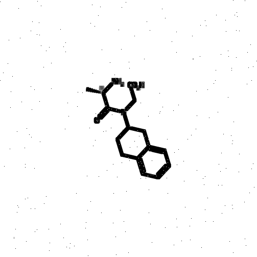 C[C@H](N)C(=O)N(CC(=O)O)C1CCc2ccccc2C1